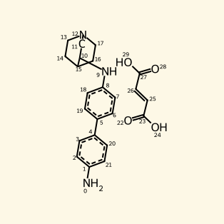 Nc1ccc(-c2ccc(NC3CN4CCC3CC4)cc2)cc1.O=C(O)C=CC(=O)O